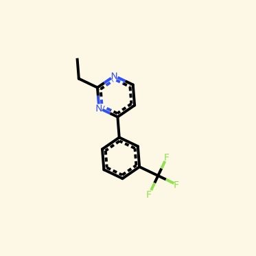 CCc1nccc(-c2cccc(C(F)(F)F)c2)n1